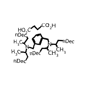 CCCCCCCCCCCC(C)N(Cc1cccc(CN(C(C)CCCCCCCCCCC)C(C)CCCCCCCCCCC)c1)C(C)CCCCCCCCCCC.O=C(O)CCC(=O)O